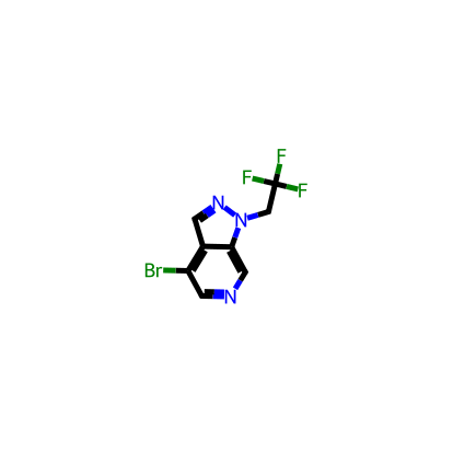 FC(F)(F)Cn1ncc2c(Br)cncc21